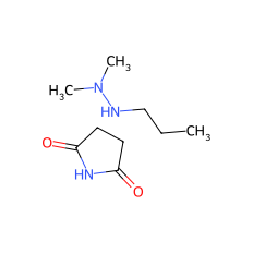 CCCNN(C)C.O=C1CCC(=O)N1